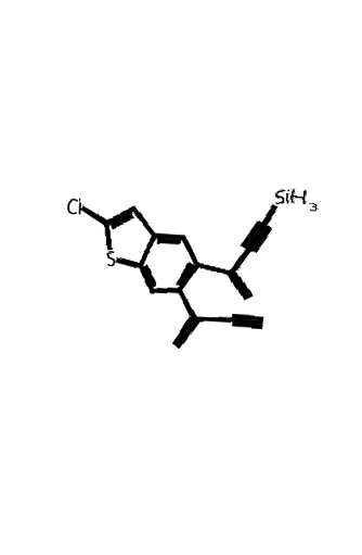 C#CC(=C)c1cc2sc(Cl)cc2cc1C(=C)C#C[SiH3]